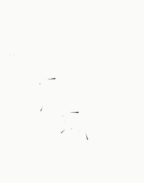 CC[C@]1(O)CC[C@@]2(C)C(=CC[C@H]3[C@@H]4CC[C@H]([C@H](C)CC[C@H](O)C(C)C)[C@@]4(C)CC(O)[C@@H]32)C1